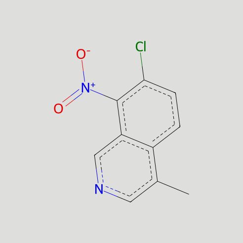 Cc1cncc2c([N+](=O)[O-])c(Cl)ccc12